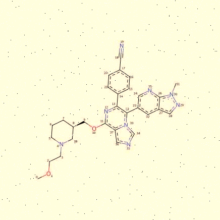 COCCN1CCC[C@@H](COc2nc(-c3ccc(C#N)cc3)c(-c3cnc4c(cnn4C)c3)n3cncc23)C1